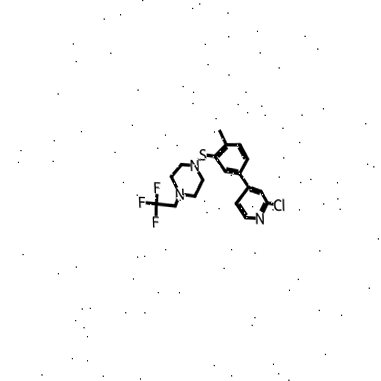 Cc1ccc(-c2ccnc(Cl)c2)cc1SN1CCN(CC(F)(F)F)CC1